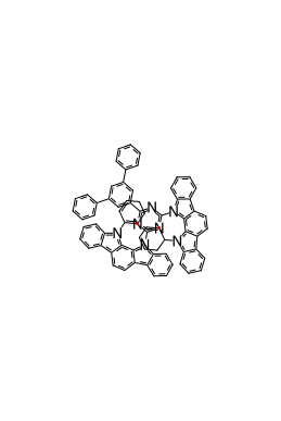 C1=CCC(n2c3ccccc3c3ccc4c5ccccc5n(-c5nc(-c6cc(-c7ccccc7)cc(-c7ccccc7)c6)nc(-n6c7ccccc7c7ccc8c9ccccc9n(C9=CCCC=C9)c8c76)n5)c4c32)C=C1